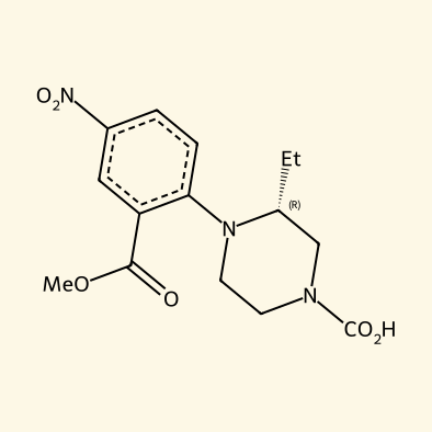 CC[C@@H]1CN(C(=O)O)CCN1c1ccc([N+](=O)[O-])cc1C(=O)OC